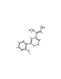 N/C(=N\O)C1=NCCC(c2ccccc2F)=C1